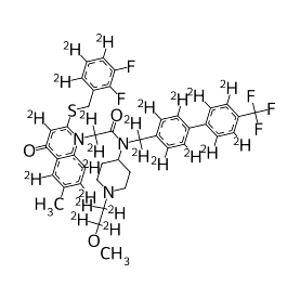 [2H]c1c([2H])c(F)c(F)c(CSc2c([2H])c(=O)c3c([2H])c(C)c([2H])c([2H])c3n2C([2H])([2H])C(=O)N(C2CCN(C([2H])([2H])C([2H])([2H])OC)CC2)C([2H])([2H])c2c([2H])c([2H])c(-c3c([2H])c([2H])c(C(F)(F)F)c([2H])c3[2H])c([2H])c2[2H])c1[2H]